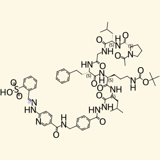 CC(=O)N1CCC[C@H]1C(=O)N[C@@H](CC(C)C)C(=O)NCC(=O)N[C@@H](CCc1ccccc1)C(=O)N[C@@H](CCCNC(=O)OC(C)(C)C)C(=O)N[C@@H](CC(C)C)C(=O)NNC(=O)c1ccc(CNC(=O)c2ccc(N/N=C/c3ccccc3S(=O)(=O)O)nc2)cc1